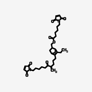 C=C(CCCC1C2CC(COC(=O)CCCCCN3C(=O)C=CC3=O)C(C2)C1CC)C(=O)CCCCCN1C(=O)C=CC1=O